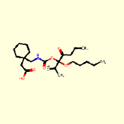 CCCCCOC(OC(=O)NCC1(CC(=O)O)CCCCC1)(C(=O)CCC)C(C)C